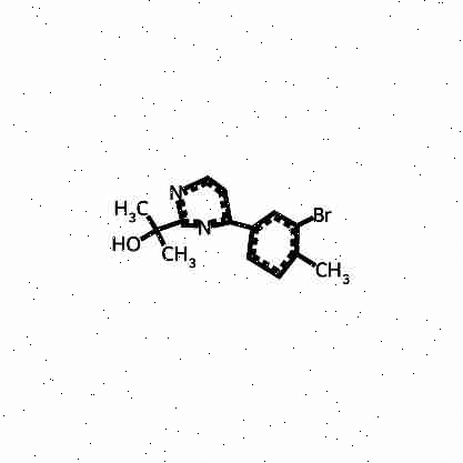 Cc1ccc(-c2ccnc(C(C)(C)O)n2)cc1Br